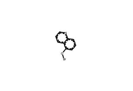 BrOc1cccc2ncccc12